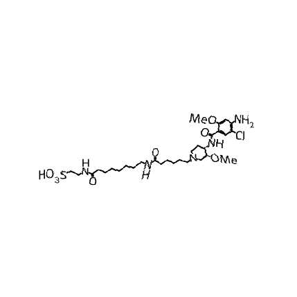 COc1cc(N)c(Cl)cc1C(=O)N[C@@H]1CCN(CCCCCC(=O)NCCCCCCCC(=O)NCCS(=O)(=O)O)C[C@@H]1OC